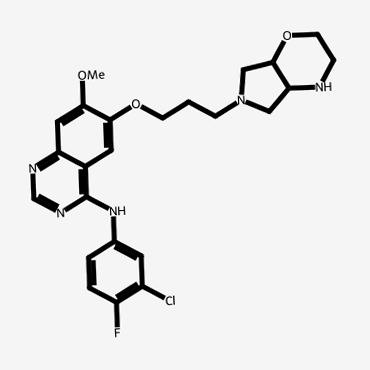 COc1cc2ncnc(Nc3ccc(F)c(Cl)c3)c2cc1OCCCN1CC2NCCOC2C1